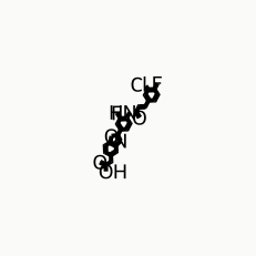 O=C(O)Cc1ccc2oc(-c3ccc(NC(=O)C=Cc4ccc(F)c(Cl)c4)c(F)c3)nc2c1